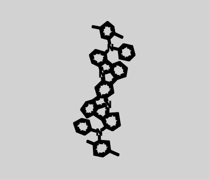 Cc1ccc(C)c(N(c2ccccc2)c2cccc3c2c2cccc4c5cc6c(cc5n3c42)c2cccc3c4c(N(c5ccccc5)c5cc(C)ccc5C)cccc4n6c23)c1